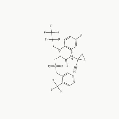 N#CC1(NC(=O)C(CS(=O)(=O)Cc2ccccc2C(F)(F)F)N(CC(F)(F)C(F)(F)F)c2ccc(F)cc2F)CC1